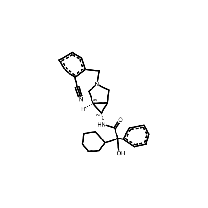 N#Cc1ccccc1CN1CC2[C@H](C1)[C@H]2NC(=O)C(O)(c1ccccc1)C1CCCCC1